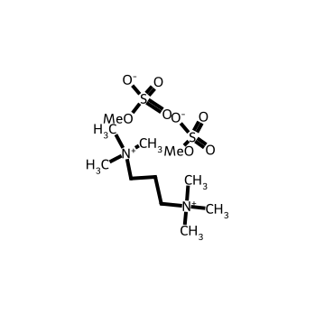 COS(=O)(=O)[O-].COS(=O)(=O)[O-].C[N+](C)(C)CCC[N+](C)(C)C